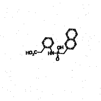 O=C(O)Cc1ccccc1NP(=O)(O)Cc1ccc2ccccc2c1